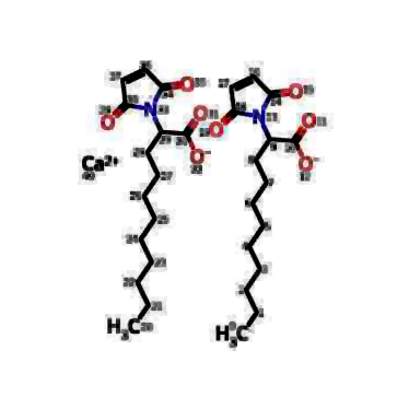 CCCCCCCCCC(C(=O)[O-])N1C(=O)C=CC1=O.CCCCCCCCCC(C(=O)[O-])N1C(=O)C=CC1=O.[Ca+2]